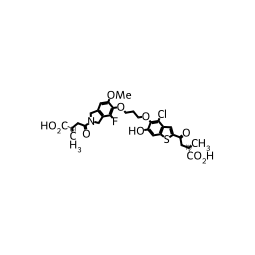 COc1cc2c(c(F)c1OCCCOc1c(O)cc3sc(C(=O)C[C@H](C)C(=O)O)cc3c1Cl)CN(C(=O)C[C@H](C)C(=O)O)C2